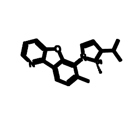 Cc1ccc2c(oc3cccnc32)c1N1C=CC(C(C)C)[C@@H]1C